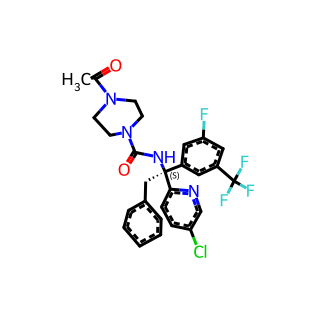 CC(=O)N1CCN(C(=O)N[C@@](Cc2ccccc2)(c2cc(F)cc(C(F)(F)F)c2)c2ccc(Cl)cn2)CC1